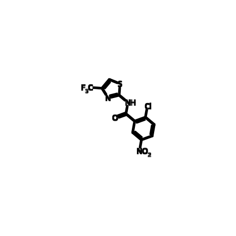 O=C(Nc1nc(C(F)(F)F)cs1)c1cc([N+](=O)[O-])ccc1Cl